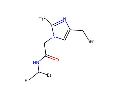 CCC(CC)NC(=O)Cn1cc(CC(C)C)nc1C